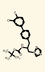 CC(C)(C)OC(=O)NC(Cc1ccc(-c2ccc(F)c(Cl)c2)cc1)Cn1cncn1